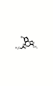 CCc1nc2n(n1)Cc1c(C)ncn1-c1ccc(Br)cc1-2